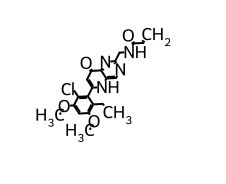 C=CC(=O)NCc1ncc2[nH]c(-c3c(Cl)c(OC)cc(OC)c3CC)cc(=O)c2n1